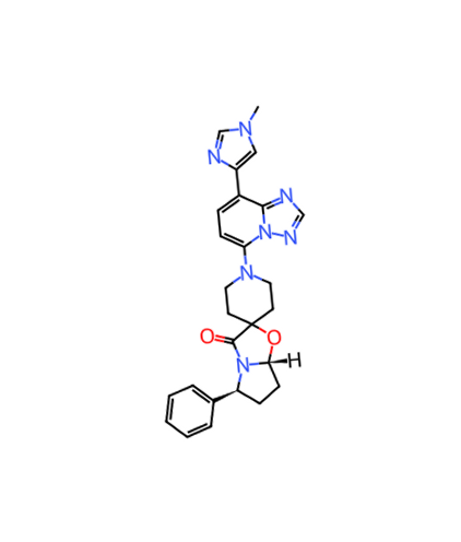 Cn1cnc(-c2ccc(N3CCC4(CC3)O[C@@H]3CC[C@@H](c5ccccc5)N3C4=O)n3ncnc23)c1